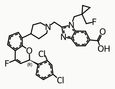 O=C(O)c1ccc2nc(CN3CCC(c4cccc5c4O[C@@H](c4ccc(Cl)cc4Cl)C=C5F)CC3)n(CC3(CF)CC3)c2c1